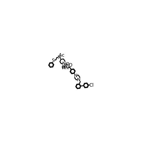 CC(=O)N(CCSc1ccccc1)C1CCN(S(=O)(=O)NC(=O)c2ccc(N3CCN(Cc4ccccc4-c4ccc(Cl)cc4)CC3)cc2)CC1